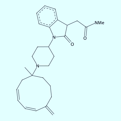 C=C1/C=C\C=C/CC(C)(N2CCC(N3C(=O)C(CC(=O)NC)c4ccccc43)CC2)CCC1